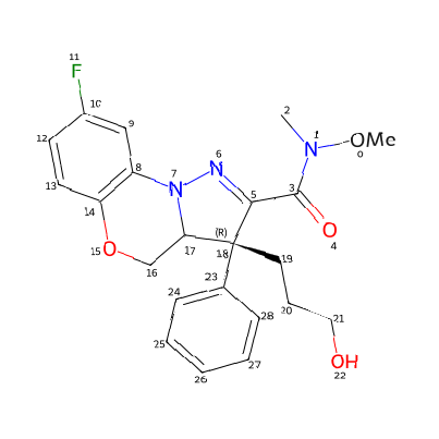 CON(C)C(=O)C1=NN2c3cc(F)ccc3OCC2[C@@]1(CCCO)c1ccccc1